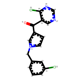 O=C(c1ccn(Cc2cccc(Cl)c2)c1)c1cncnc1Cl